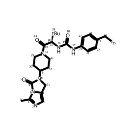 Cc1ncc2n1C(=O)N(C1CCN(C(=O)[C@H](NC(=O)Nc3ccc(CI)cc3)C(C)(C)C)CC1)C2